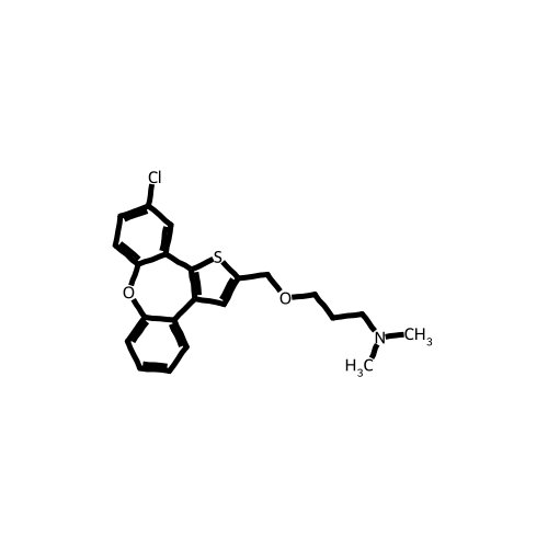 CN(C)CCCOCc1cc2c(s1)-c1cc(Cl)ccc1Oc1ccccc1-2